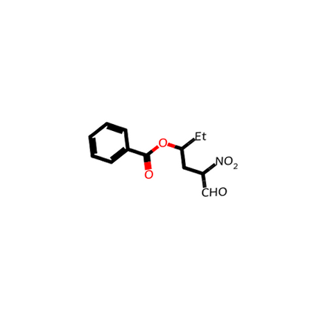 CCC(CC(C=O)[N+](=O)[O-])OC(=O)c1ccccc1